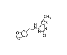 Cc1cc2c(NCCc3ccc4c(c3)OCO4)nc(Cl)nc2s1